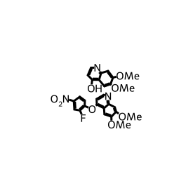 COc1cc2nccc(O)c2cc1OC.COc1cc2nccc(Oc3ccc([N+](=O)[O-])cc3F)c2cc1OC